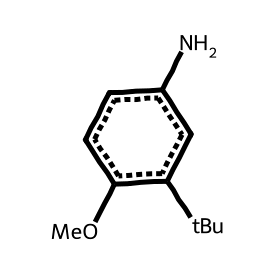 COc1ccc(N)cc1C(C)(C)C